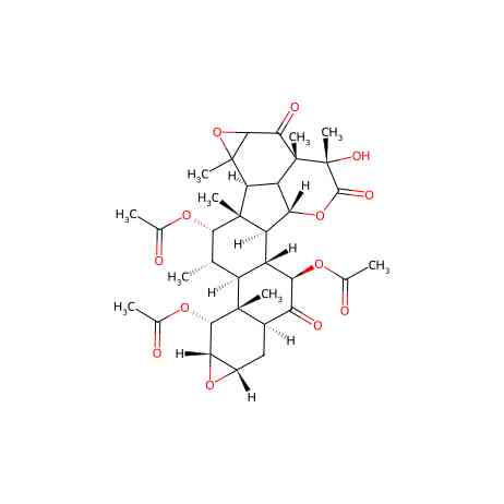 CC(=O)O[C@H]1C(=O)[C@H]2C[C@@H]3O[C@@H]3[C@H](OC(C)=O)[C@]2(C)[C@H]2[C@H](C)[C@H](OC(C)=O)[C@@]3(C)[C@H]([C@@H]21)[C@H]1OC(=O)[C@@](C)(O)[C@@]2(C)C(=O)C4OC4(C)[C@H]3C12